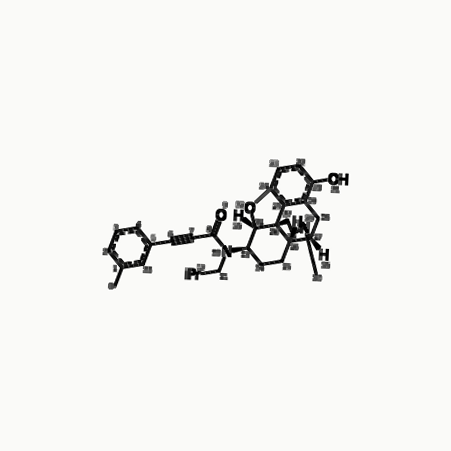 Cc1cccc(C#CC(=O)N(CC(C)C)[C@@H]2CC[C@H]3[C@H]4Cc5c(O)ccc6c5[C@@]3(CCN4C)[C@H]2O6)c1